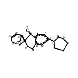 O=C1c2ccc(C3CCCCC3)cc2CCC12CC1C=CC2C1